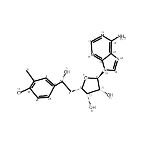 Cc1cc([C@H](O)C[C@@H]2O[C@@H](n3cnc4c(N)ncnc43)[C@H](O)[C@@H]2O)ccc1Cl